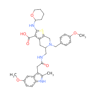 COc1ccc(CN2Cc3sc(NC4CCCCO4)c(C(=O)O)c3CC2CNC(=O)Cc2c(C)[nH]c3ccc(OC)cc23)cc1